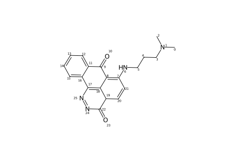 CN(C)CCCNC1=C2C(=O)c3ccccc3C3=C2C(C=C1)C(=O)N=N3